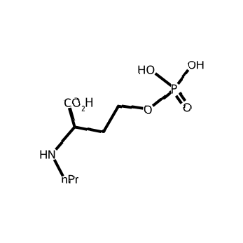 CCCNC(CCOP(=O)(O)O)C(=O)O